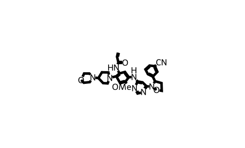 C=CC(=O)Nc1cc(Nc2cc(N3OCCC3c3cccc(C#N)c3)ncn2)c(OC)cc1N1CCC(N2CCOCC2)CC1